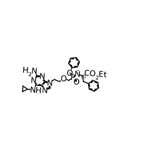 CCOC(=O)[C@H](Cc1ccccc1)N(C)P(=O)(COCCn1cnc2c(NC3CC3)nc(N)nc21)Oc1ccccc1